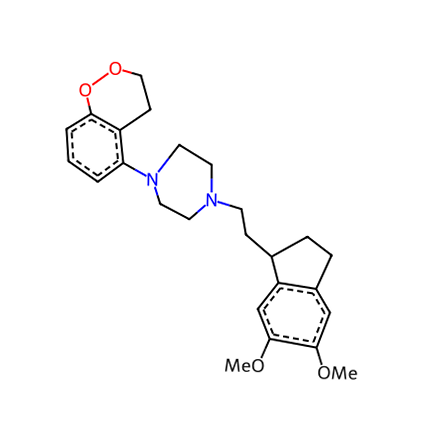 COc1cc2c(cc1OC)C(CCN1CCN(c3cccc4c3CCOO4)CC1)CC2